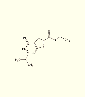 CCOC(=O)C1Cc2c(cc(C(C)C)[nH]c2=N)S1